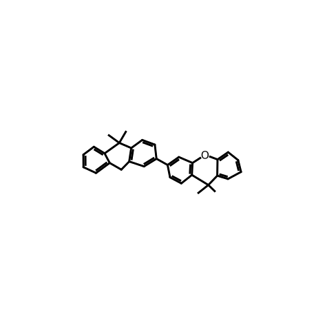 CC1(C)c2ccccc2Cc2cc(-c3ccc4c(c3)Oc3ccccc3C4(C)C)ccc21